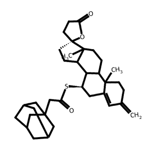 C=C1C=C2C[C@@H](SC(=O)CC34CC5CC(CC(C5)C3)C4)C3C(CCC4(C)C3CC[C@@]43CCC(=O)O3)C2(C)CC1